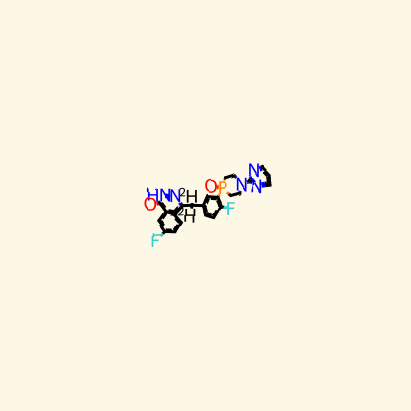 [2H]C([2H])(c1ccc(F)c(P2(=O)CCN(c3ncccn3)CC2)c1)c1n[nH]c(=O)c2cc(F)ccc12